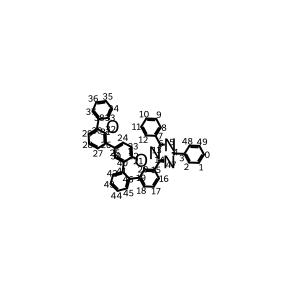 c1ccc(-c2nc(-c3ccccc3)nc(-c3cccc4c3Oc3ccc(-c5cccc6c5oc5ccccc56)cc3-c3ccccc3-4)n2)cc1